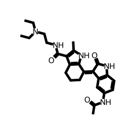 CCN(CC)CCNC(=O)c1c(C)[nH]c2c1CCC/C2=C1/C(=O)Nc2ccc(NC(C)=O)cc21